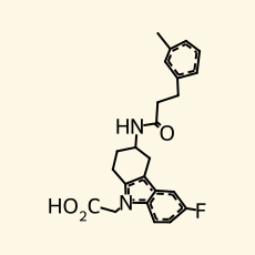 Cc1cccc(CCC(=O)NC2CCc3c(c4cc(F)ccc4n3CC(=O)O)C2)c1